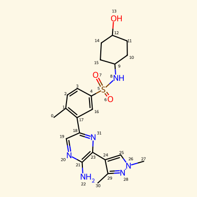 Cc1ccc(S(=O)(=O)NC2CCC(O)CC2)cc1-c1cnc(N)c(-c2cn(C)nc2C)n1